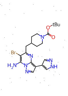 CC(C)(C)OC(=O)N1CCC(Cc2nc3c(-c4cn[nH]c4)cnn3c(N)c2Br)CC1